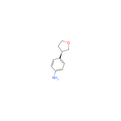 Nc1ccc([C@H]2CCOC2)cc1